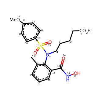 CCOC(=O)CCCCN(c1c(C)cccc1C(=O)NO)S(=O)(=O)c1ccc(OC)cc1